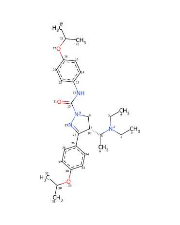 CCN(CC)C(C)[C@H]1CN(C(=O)Nc2ccc(OC(C)C)cc2)N=C1c1ccc(OC(C)C)cc1